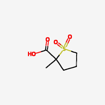 CC1(C(=O)O)CCCS1(=O)=O